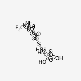 Nc1nc(C(F)(F)F)cc2c1[nH]c(=O)n2Cc1ccc(N(C(=O)OCCSSCCNC(=S)Nc2ccc3c(c2)C(=O)OC32c3ccc(O)cc3Oc3cc(O)ccc32)N2CCCCC2)nc1